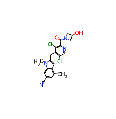 Cc1cc(C#N)cc2c1cc(Cc1c(Cl)cnc(C(=O)N3CC(O)C3)c1Cl)n2C